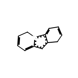 C1=CCc2cc3n(c2=C1)CC=CC=3